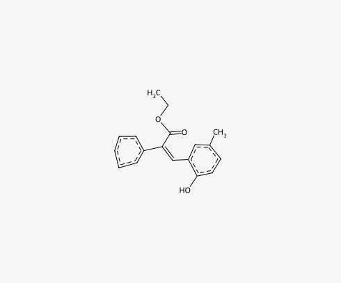 CCOC(=O)C(=Cc1cc(C)ccc1O)c1ccccc1